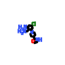 NCc1c(N)cc(Cl)cc1N1CCC(C2NC=CO2)CC1